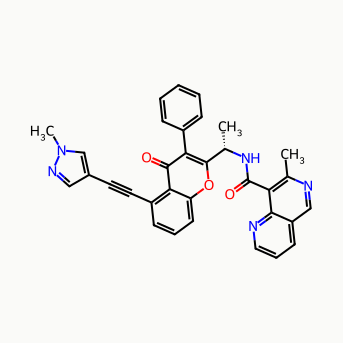 Cc1ncc2cccnc2c1C(=O)N[C@@H](C)c1oc2cccc(C#Cc3cnn(C)c3)c2c(=O)c1-c1ccccc1